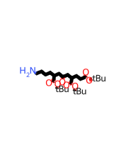 CC(C)(C)OC(=O)CCC(CC(=O)CC(CCCCN)C(=O)OC(C)(C)C)C(=O)OC(C)(C)C